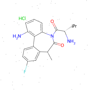 CC1C(=O)N(C(=O)[C@@H](N)C(C)C)c2cccc(N)c2-c2ccc(F)cc21.Cl